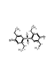 CCc1cc(S(=O)(=O)c2cc(CC)c(Br)cc2CC)c(CC)cc1Br